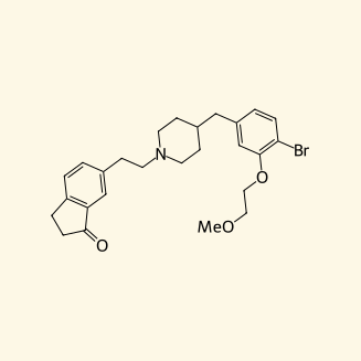 COCCOc1cc(CC2CCN(CCc3ccc4c(c3)C(=O)CC4)CC2)ccc1Br